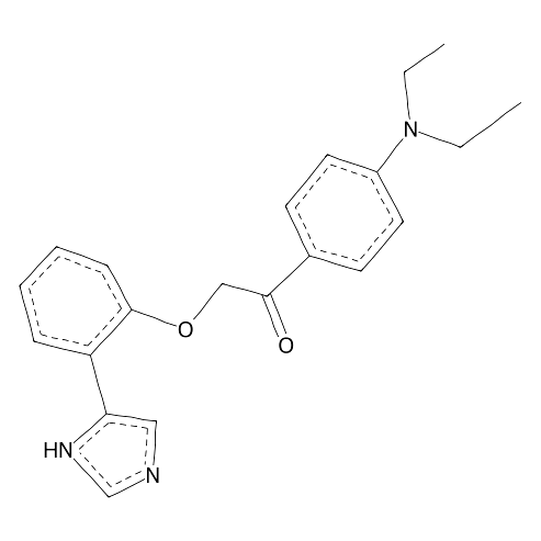 CCN(CC)c1ccc(C(=O)COc2ccccc2-c2cnc[nH]2)cc1